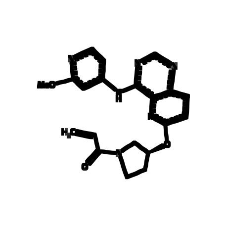 C=CC(=O)N1CC[C@H](Oc2ccc3ncnc(Nc4ccnc(OC)c4)c3n2)C1